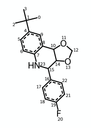 CC(C)(C)c1ccc2c(c1)C1OCOC1C(c1ccc(F)cc1)N2